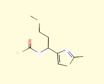 COCCC(NC(=O)O)c1csc(Br)n1